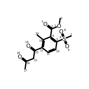 COC(=O)c1c(S(C)(=O)=O)ccc(C(=O)CC(C)=O)c1C